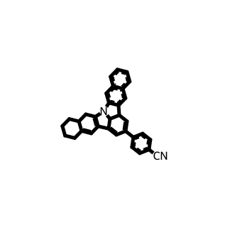 N#Cc1ccc(C2=CC3c4cc5ccccc5cc4N4C5=C(C=C6CCCCC6C5)C(=C2)C34)cc1